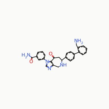 NCc1ccccc1-c1ccc(C2CC(=O)c3c(ncn3-c3cccc(C(N)=O)c3)CN2)cc1